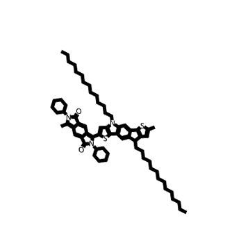 CCCCCCCCCCCCCCC1c2cc3c4sc(C5=c6cc7c(cc6C(=O)N5C5CCCCC5)=C(C)N(C5CCCCC5)C7=O)cc4n(CCCCCCCCCCCCCC)c3cc2-c2sc(C)cc21